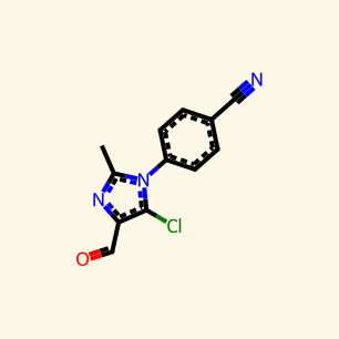 Cc1nc(C=O)c(Cl)n1-c1ccc(C#N)cc1